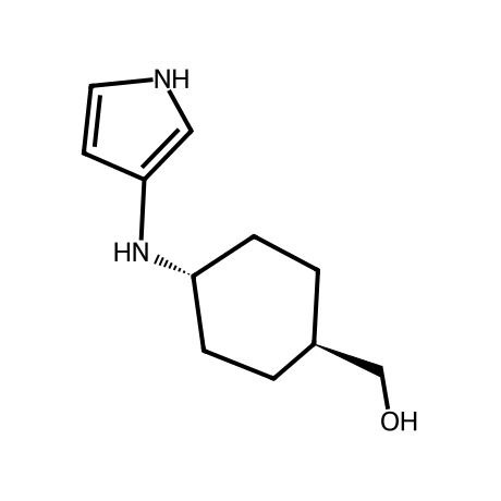 OC[C@H]1CC[C@H](Nc2cc[nH]c2)CC1